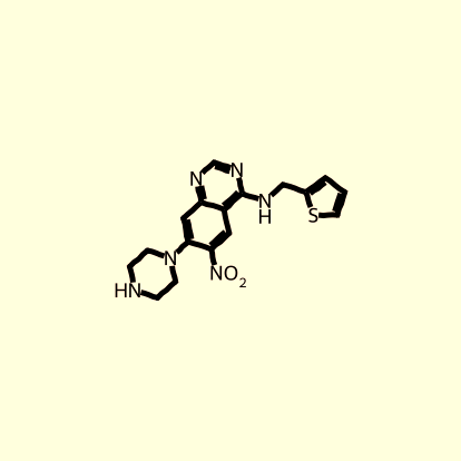 O=[N+]([O-])c1cc2c(NCc3cccs3)ncnc2cc1N1CCNCC1